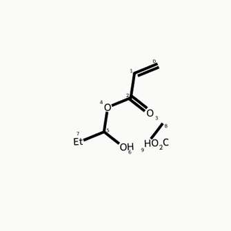 C=CC(=O)OC(O)CC.CC(=O)O